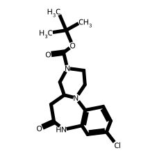 CC(C)(C)OC(=O)N1CCN2c3ccc(Cl)cc3NC(=O)CC2C1